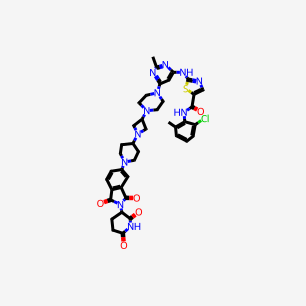 Cc1nc(Nc2ncc(C(=O)Nc3c(C)cccc3Cl)s2)cc(N2CCN(C3CN(C4CCN(c5ccc6c(c5)C(=O)N(C5CCC(=O)NC5=O)C6=O)CC4)C3)CC2)n1